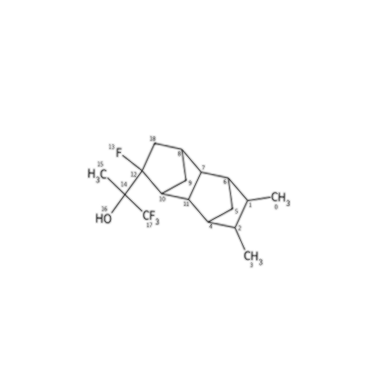 CC1C(C)C2CC1C1C3CC(C21)C(F)(C(C)(O)C(F)(F)F)C3